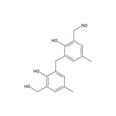 Cc1cc(CO)c(O)c(Cc2cc(C)cc(CN=O)c2O)c1